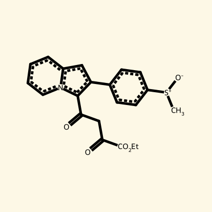 CCOC(=O)C(=O)CC(=O)c1c(-c2ccc([S+](C)[O-])cc2)cc2ccccn12